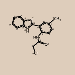 Cc1ccc(NC(=O)CCl)c(-c2nc3ccccc3[nH]2)c1